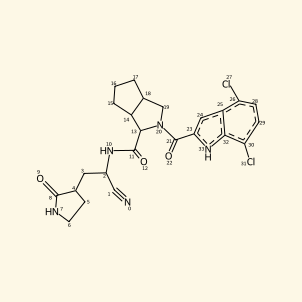 N#CC(CC1CCNC1=O)NC(=O)C1C2CCCC2CN1C(=O)c1cc2c(Cl)ccc(Cl)c2[nH]1